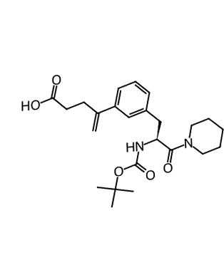 C=C(CCC(=O)O)c1cccc(C[C@H](NC(=O)OC(C)(C)C)C(=O)N2CCCCC2)c1